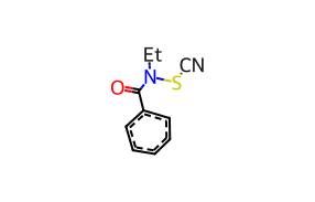 CCN(SC#N)C(=O)c1ccccc1